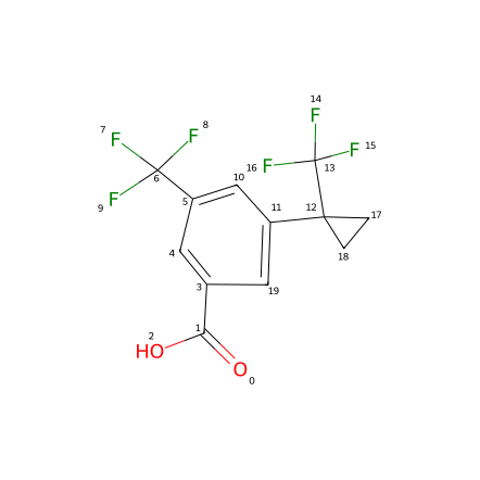 O=C(O)c1cc(C(F)(F)F)cc(C2(C(F)(F)F)CC2)c1